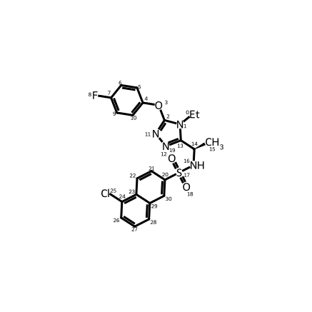 CCn1c(Oc2ccc(F)cc2)nnc1[C@@H](C)NS(=O)(=O)c1ccc2c(Cl)cccc2c1